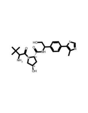 Cc1ncsc1-c1ccc(C(CO)NC(=O)[C@@H]2C[C@@H](O)CN2C(=O)C(N)C(C)(C)C)cc1